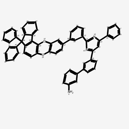 Nc1cccc(-c2cccc(-c3cc(-c4ccccc4)nc(-c4cccc(-c5ccc6c(c5)Oc5c(ccc7c5-c5ccccc5C7(c5ccccc5)c5ccccc5)O6)c4)n3)c2)c1